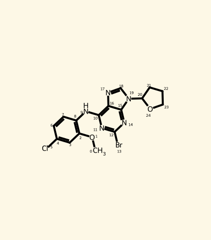 COc1cc(Cl)ccc1Nc1nc(Br)nc2c1ncn2C1CCCO1